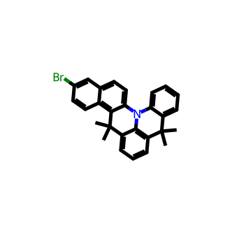 CC1(C)c2ccccc2N2c3ccc4cc(Br)ccc4c3C(C)(C)c3cccc1c32